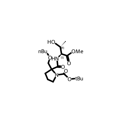 CCCCOCC1(C(=O)N[C@H](C(=O)OC)[C@@H](C)O)CCCN1C(=O)OC(C)(C)C